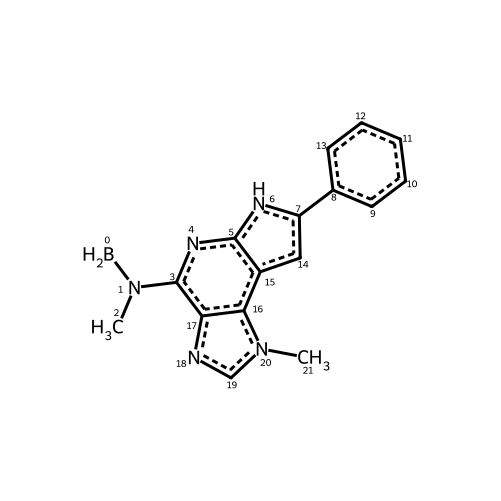 BN(C)c1nc2[nH]c(-c3ccccc3)cc2c2c1ncn2C